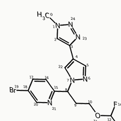 Cn1cc(-c2cnn(C(CCOC(F)F)c3ccc(Br)cn3)c2)nn1